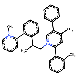 Cc1cc(-c2ccccc2C)[n+](CC(C)c2ccccc2-c2cccc[n+]2C)cc1-c1ccccc1